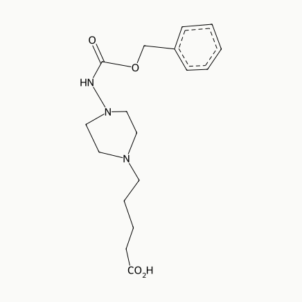 O=C(O)CCCCN1CCN(NC(=O)OCc2ccccc2)CC1